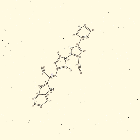 Cc1cc(/C=C(\C#N)c2nc3ccccc3[nH]2)c(C)n1-c1oc(-c2ccccc2)cc1C#N